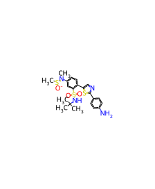 CN(c1ccc(-c2cnc(-c3ccc(N)cc3)s2)c(S(=O)(=O)NC(C)(C)C)c1)[S+](C)[O-]